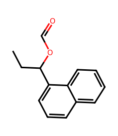 CCC(OC=O)c1cccc2ccccc12